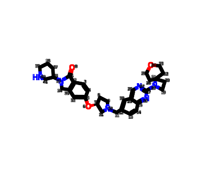 O=C1c2ccc(O[C@H]3CCN(Cc4ccc5nc(N6CCC67CCOCC7)ncc5c4)C3)cc2CN1C1CCCNC1